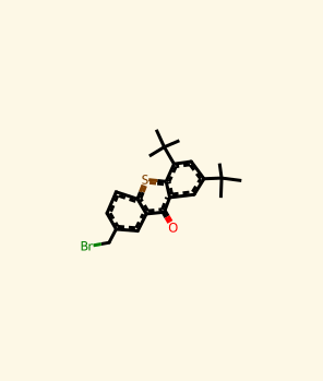 CC(C)(C)c1cc(C(C)(C)C)c2sc3ccc(CBr)cc3c(=O)c2c1